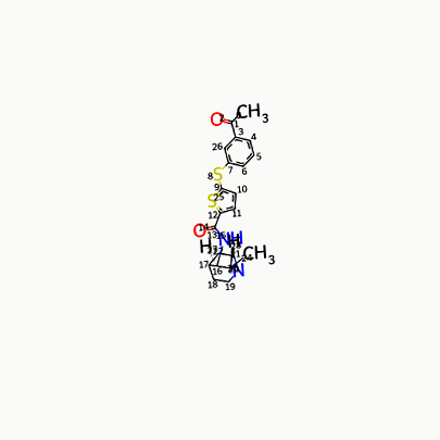 CC(=O)c1cccc(Sc2ccc(C(=O)N[C@@H]3C4CCN(CC4)[C@H]3C)s2)c1